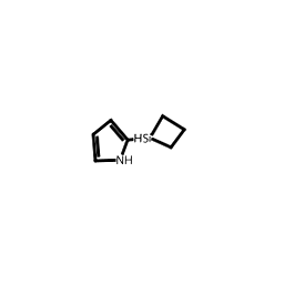 c1c[nH]c([SiH]2CCC2)c1